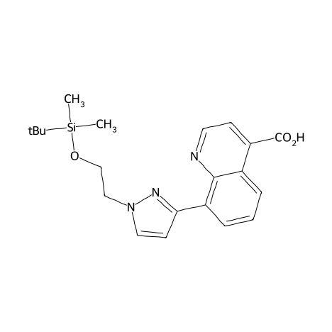 CC(C)(C)[Si](C)(C)OCCn1ccc(-c2cccc3c(C(=O)O)ccnc23)n1